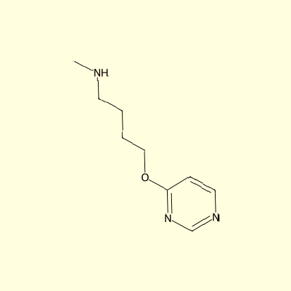 CNCCCCOc1ccncn1